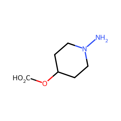 NN1CCC(OC(=O)O)CC1